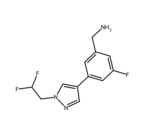 NCc1cc(F)cc(-c2cnn(CC(F)F)c2)c1